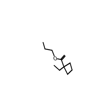 C=C(OCCC)C1(CC)CCC1